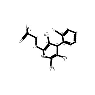 N#CC1=C(N)NC(SCC(N)=O)=C(C#N)C1c1ccccc1F